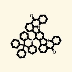 O=c1c2ccccc2n2c3cc4c(c(N5c6ccccc6C(c6ccccc6)(c6ccccc6)c6ccccc65)c3c3cccc1c32)c1cccc2c(=O)c3ccccc3n4c21